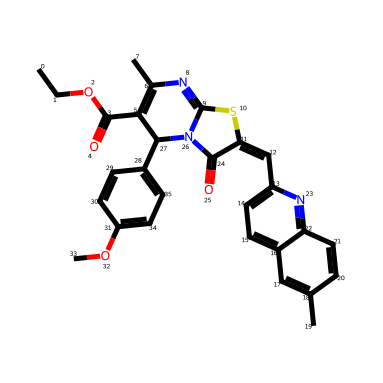 CCOC(=O)C1=C(C)N=c2s/c(=C/c3ccc4cc(C)ccc4n3)c(=O)n2C1c1ccc(OC)cc1